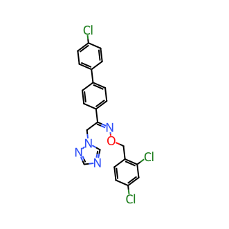 Clc1ccc(-c2ccc(C(Cn3cncn3)=NOCc3ccc(Cl)cc3Cl)cc2)cc1